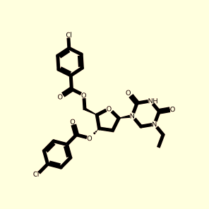 CCN1CN([C@H]2C[C@H](OC(=O)c3ccc(Cl)cc3)[C@@H](COC(=O)c3ccc(Cl)cc3)O2)C(=O)NC1=O